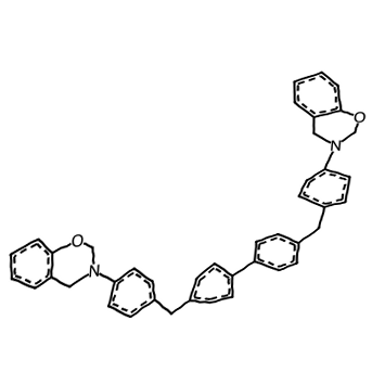 c1ccc2c(c1)CN(c1ccc(Cc3ccc(-c4ccc(Cc5ccc(N6COc7ccccc7C6)cc5)cc4)cc3)cc1)CO2